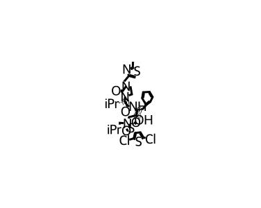 Cc1nc(CN2CCN([C@H](C(=O)N[C@@H](Cc3ccccc3)[C@H](O)CN(CC(C)C)S(=O)(=O)c3cc(Cl)sc3Cl)C(C)C)C2=O)cs1